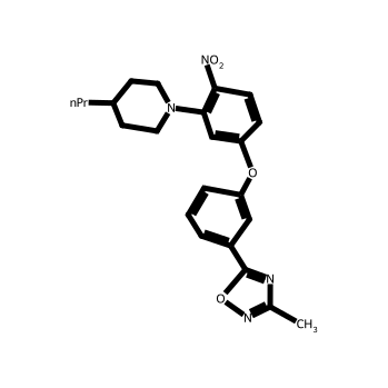 CCCC1CCN(c2cc(Oc3cccc(-c4nc(C)no4)c3)ccc2[N+](=O)[O-])CC1